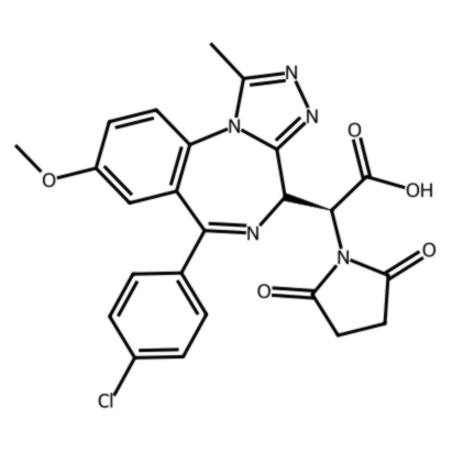 COc1ccc2c(c1)C(c1ccc(Cl)cc1)=NC([C@@H](C(=O)O)N1C(=O)CCC1=O)c1nnc(C)n1-2